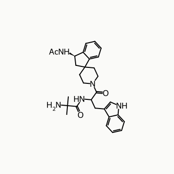 CC(=O)N[C@@H]1CC2(CCN(C(=O)C(Cc3c[nH]c4ccccc34)NC(=O)C(C)(C)N)CC2)c2ccccc21